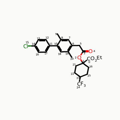 CCOC(=O)C1(OC(=O)Cc2cc(C)c(-c3ccc(Cl)cc3)cc2C)CCC(C(F)(F)F)CC1